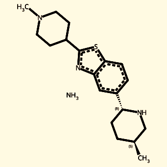 C[C@H]1CC[C@H](c2ccc3sc(C4CCN(C)CC4)nc3c2)NC1.N